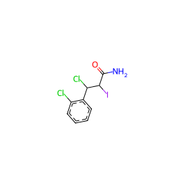 NC(=O)C(I)C(Cl)c1ccccc1Cl